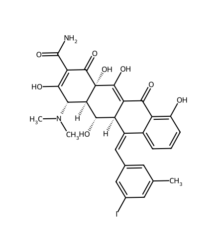 Cc1cc(I)cc(/C=C2\c3cccc(O)c3C(=O)C3=C(O)[C@]4(O)C(=O)C(C(N)=O)=C(O)[C@@H](N(C)C)[C@@H]4[C@@H](O)[C@@H]32)c1